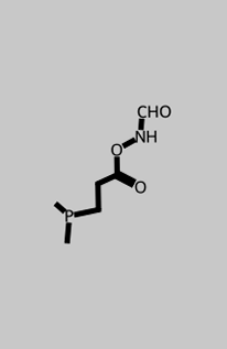 CP(C)CCC(=O)ONC=O